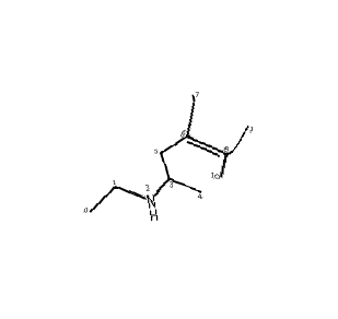 CCNC(C)CC(C)=C(C)C